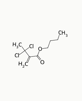 C=C(C(=O)OCCCC)C(C)(Cl)Cl